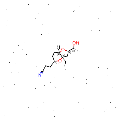 CC[C@]12C[C@H]([C@@H](C)O)O[C@H]1CC[C@H](CCC#N)O2